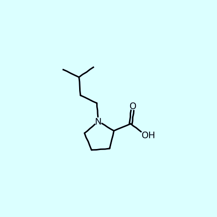 CC(C)CCN1CCCC1C(=O)O